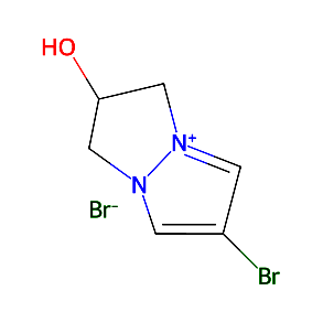 OC1Cn2cc(Br)c[n+]2C1.[Br-]